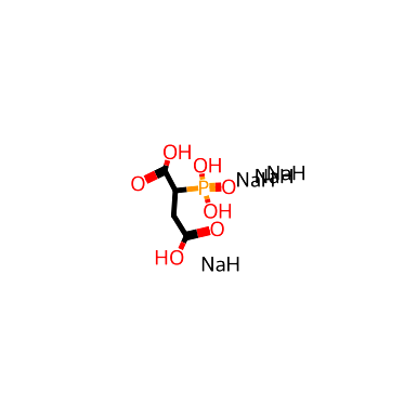 O=C(O)CC(C(=O)O)P(=O)(O)O.[NaH].[NaH].[NaH].[NaH]